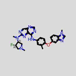 Cc1cc(Nc2ncnc3cnc(N(C)[C@H]4CN(C)C[C@H]4F)nc23)ccc1Oc1ccc2c(c1)ncn2C